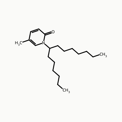 CCCCCCCC(CCCCCC)n1cc(C)ccc1=O